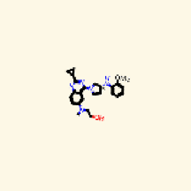 COc1ccccc1N[C@@H]1CCN(c2nc(C3CC3)nc3ccc(N(C)CCO)cc23)C1